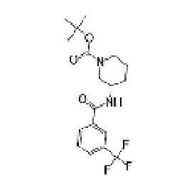 CC(C)(C)OC(=O)N1CCCC(NC(=O)c2cccc(C(F)(F)F)c2)C1